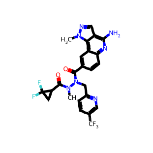 CN(C(=O)C1CC1(F)F)N(Cc1ccc(C(F)(F)F)cn1)C(=O)c1ccc2nc(N)c3cnn(C)c3c2c1